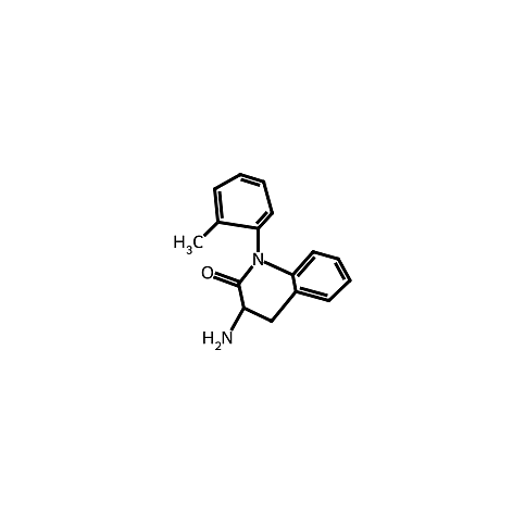 Cc1ccccc1N1C(=O)C(N)Cc2ccccc21